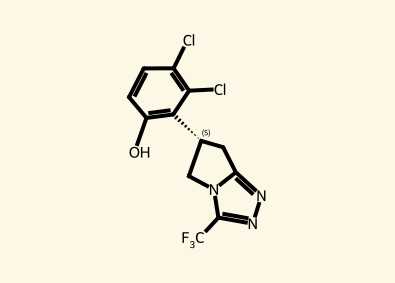 Oc1ccc(Cl)c(Cl)c1[C@@H]1Cc2nnc(C(F)(F)F)n2C1